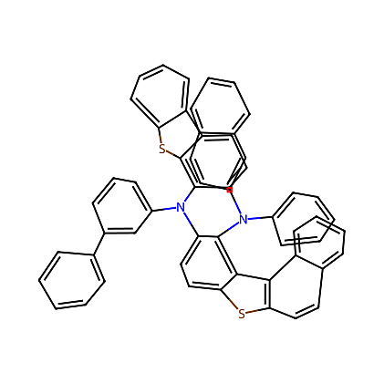 c1ccc(-c2cccc(N(c3ccc4sc5ccc6ccccc6c5c4c3N(c3ccccc3)c3ccc4ccccc4c3)c3cccc4c3sc3ccccc34)c2)cc1